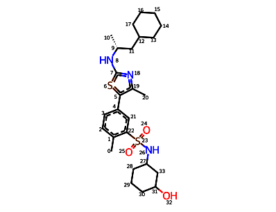 Cc1ccc(-c2sc(N[C@H](C)CC3CCCCC3)nc2C)cc1S(=O)(=O)NC1CCCC(O)C1